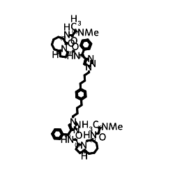 CN[C@@H](C)C(=O)N[C@H]1CCCC[C@H]2CC[C@@H](C(=O)N[C@H](c3ccccc3)c3cn(CCCCc4ccc(CCCCn5cc([C@H](NC(=O)[C@@H]6CC[C@@H]7CCCC[C@H](NC(=O)[C@H](C)NC)C(=O)N76)c6ccccc6)nn5)cc4)nn3)N2C1